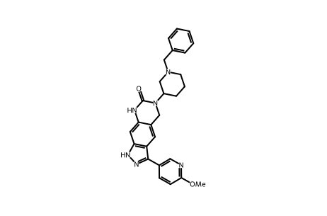 COc1ccc(-c2n[nH]c3cc4c(cc23)CN(C2CCCN(Cc3ccccc3)C2)C(=O)N4)cn1